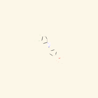 COC(=O)c1ccc(/C=N/c2ccc(Cl)c(Cl)c2)cc1